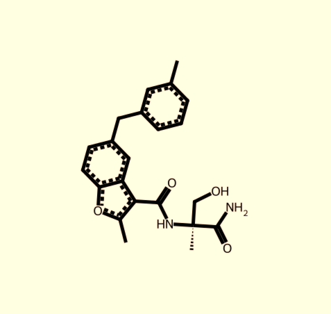 Cc1cccc(Cc2ccc3oc(C)c(C(=O)N[C@@](C)(CO)C(N)=O)c3c2)c1